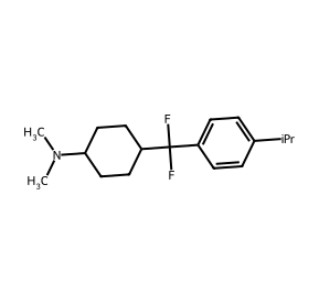 CC(C)c1ccc(C(F)(F)C2CCC(N(C)C)CC2)cc1